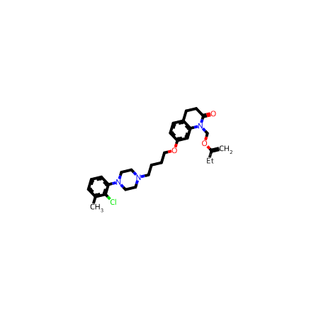 C=C(CC)OCN1C(=O)CCc2ccc(OCCCCN3CCN(c4cccc(C)c4Cl)CC3)cc21